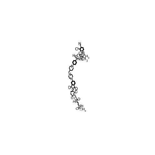 CC(=O)NCCNC(=O)OCN1C(=O)CCC(N2C(=O)c3ccc(N4CCN(CC5CCN(c6ccc(C(=O)NC7C(C)(C)C(Oc8ccc(C#N)c(Cl)c8)C7(C)C)cc6)CC5)CC4)cc3C2=O)C1=O